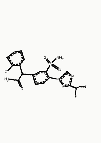 NC(=O)C(c1ccc(-n2cnc(C(F)F)n2)c(S(N)(=O)=O)c1)c1ccccc1Cl